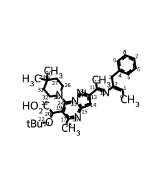 C/C=C(Cc1ccccc1)\N=C(/C)c1cc2nc(C)c(C(OC(C)(C)C)C(=O)O)c(N3CCC(C)(C)CC3)n2n1